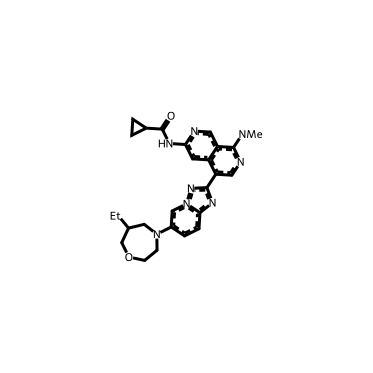 CCC1COCCN(c2ccc3nc(-c4cnc(NC)c5cnc(NC(=O)C6CC6)cc45)nn3c2)C1